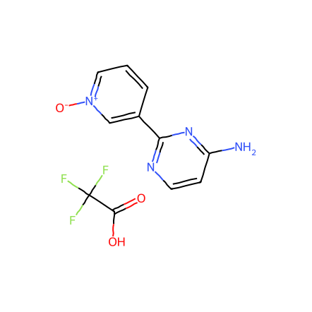 Nc1ccnc(-c2ccc[n+]([O-])c2)n1.O=C(O)C(F)(F)F